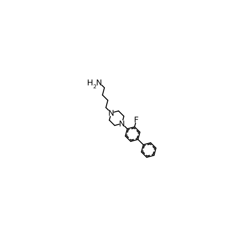 NCCCCN1CCN(c2ccc(-c3ccccc3)cc2F)CC1